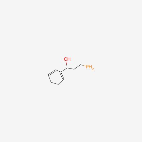 OC(CCP)C1=CCCC=C1